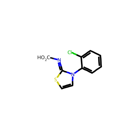 O=C(O)N=c1sccn1-c1ccccc1Cl